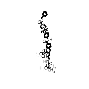 CC(C)(C)OC(=O)NCCCN(Cc1ccc(C(=O)Nc2ccc(S(=O)(=O)N3CCN(C(=O)OCc4ccccc4)CC3)cc2)cc1)C(=O)OC(C)(C)C